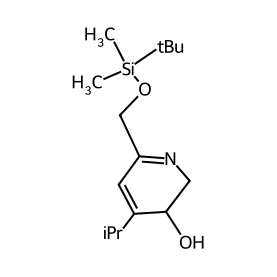 CC(C)C1=CC(CO[Si](C)(C)C(C)(C)C)=NCC1O